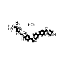 CC(C)(C)c1cc(NC(=O)Nc2ccc(-c3cnc4cc(-c5ccc(C(=O)N6CCNCC6)cc5)ccn34)cc2F)no1.Cl